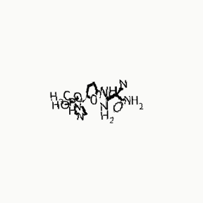 C[PH](O)(OC[C@@H]1CC[C@H](N/C(N)=C(\C#N)C(N)=O)O1)n1ccnc1